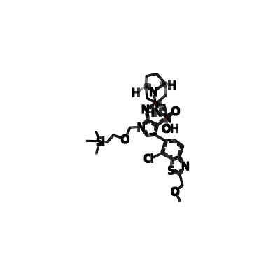 COCc1nc2ccc(-c3cn(COCC[Si](C)(C)C)c4nc(N5[C@@H]6CC[C@H]5C[C@@H](NC(=O)O)C6)cnc34)c(Cl)c2s1